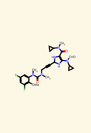 COc1c(F)cc(F)cc1N(C)C(=O)N(C)CC#CC1NC(C(=O)N(C)C2CC2)=C(N(C=O)C2CC2)N1